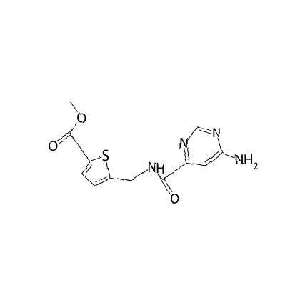 COC(=O)c1ccc(CNC(=O)c2cc(N)ncn2)s1